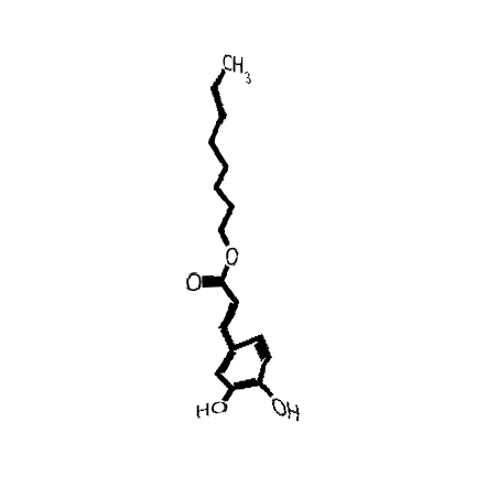 CCCCCCCCOC(=O)C=Cc1ccc(O)c(O)c1